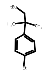 CCc1ccc(C(C)(C)CC(C)(C)C)cc1